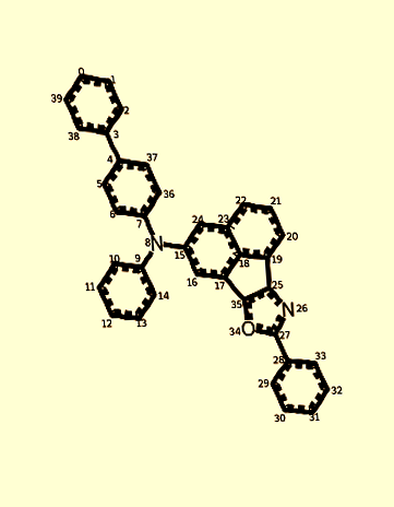 c1ccc(-c2ccc(N(c3ccccc3)c3cc4c5c(cccc5c3)-c3nc(-c5ccccc5)oc3-4)cc2)cc1